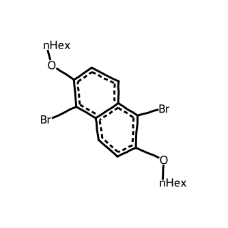 CCCCCCOc1ccc2c(Br)c(OCCCCCC)ccc2c1Br